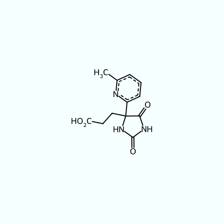 Cc1cccc(C2(CCC(=O)O)NC(=O)NC2=O)n1